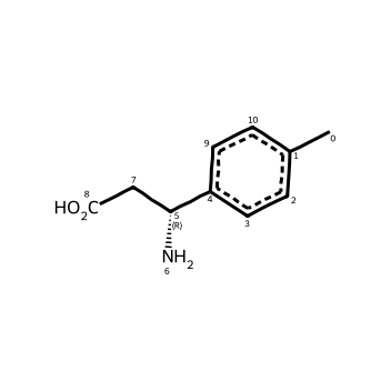 Cc1ccc([C@H](N)CC(=O)O)cc1